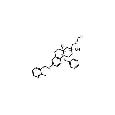 CCOC[C@@]1(O)CC[C@@]2(Cc3ccccc3)c3ccc(OCc4cccnc4C)cc3CC[C@@H]2C1